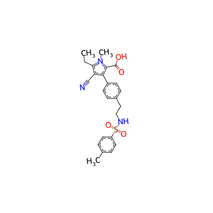 CCc1c(C#N)c(-c2ccc(CCNS(=O)(=O)c3ccc(C)cc3)cc2)c(C(=O)O)n1C